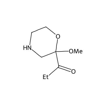 CCC(=O)C1(OC)CNCCO1